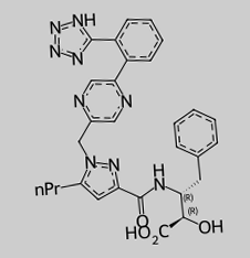 CCCc1cc(C(=O)N[C@H](Cc2ccccc2)[C@@H](O)C(=O)O)nn1Cc1cnc(-c2ccccc2-c2nnn[nH]2)cn1